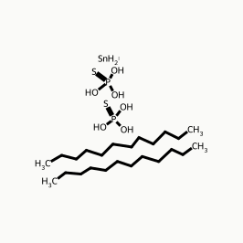 CCCCCCCCCCCC.CCCCCCCCCCCC.OP(O)(O)=S.OP(O)(O)=S.[SnH2]